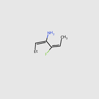 C/C=C(F)\C(N)=C/CC